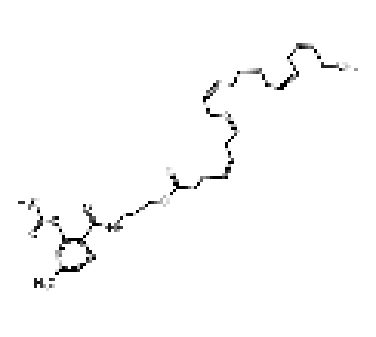 CC/C=C\C/C=C\C/C=C\C/C=C\C/C=C\C/C=C\CCC(=O)OCCCNC(=O)c1ccc(C)cc1OC(C)=O